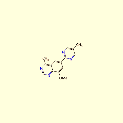 COc1cc(-c2ncc(C)cn2)cc2c(C)ncnc12